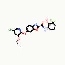 O=C(N[C@H]1CCCC(F)(F)[C@@H]1O)c1nc2ccc(Oc3ncc(Cl)cc3OCC(F)(F)F)cc2o1